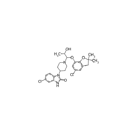 CC(O)C(Oc1cc(Cl)cc2c1OC(C)(C)C2)N1CCC(n2c(=O)[nH]c3cc(Cl)ccc32)CC1